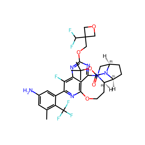 Cc1cc(N)cc(-c2nc3c4c(nc(OCC5(C(F)F)COC5)nc4c2F)N2C[C@H]4CC[C@@H]([C@H]2CCO3)N4C(=O)OC(C)(C)C)c1C(F)(F)F